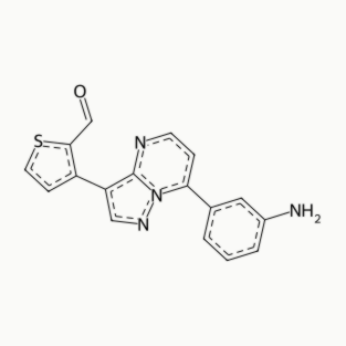 Nc1cccc(-c2ccnc3c(-c4ccsc4C=O)cnn23)c1